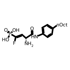 CCCCCCCCc1ccc(NC(=O)[C@H](N)/C=C(\F)P(=O)(O)O)cc1